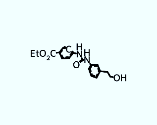 CCOC(=O)c1ccc(NC(=O)Nc2cccc(CCO)c2)cc1